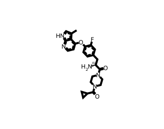 Cc1c[nH]c2nccc(Oc3ccc(C[C@H](N)C(=O)N4CCN(C(=O)C5CC5)CC4)cc3F)c12